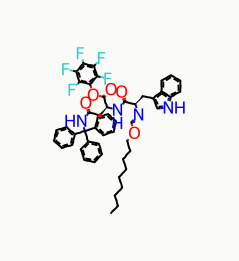 CCCCCCCCCO/C=N/[C@H](Cc1c[nH]c2ccccc12)C(=O)N[C@@H](CC(=O)NC(c1ccccc1)(c1ccccc1)c1ccccc1)C(=O)Oc1c(F)c(F)c(F)c(F)c1F